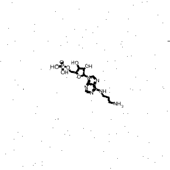 NCCCNc1ncnc2c1ncn2C1OC(COP(=O)(O)O)C(O)C1O